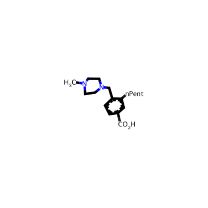 CCCCCc1cc(C(=O)O)ccc1CN1CCN(C)CC1